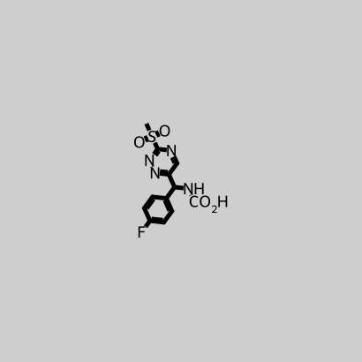 CS(=O)(=O)c1ncc(C(NC(=O)O)c2ccc(F)cc2)nn1